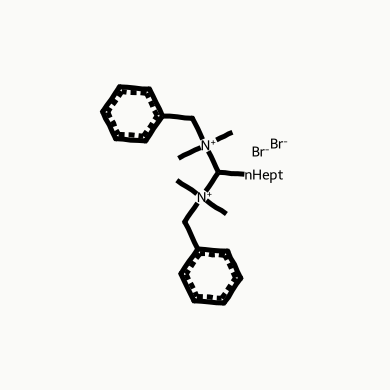 CCCCCCCC([N+](C)(C)Cc1ccccc1)[N+](C)(C)Cc1ccccc1.[Br-].[Br-]